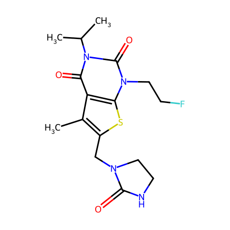 Cc1c(CN2CCNC2=O)sc2c1c(=O)n(C(C)C)c(=O)n2CCF